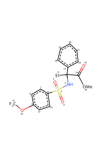 CCC(NS(=O)(=O)c1ccc(OC(F)(F)F)cc1)(C(=O)OC)c1ccccc1